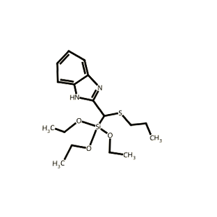 CCCSC(c1nc2ccccc2[nH]1)[Si](OCC)(OCC)OCC